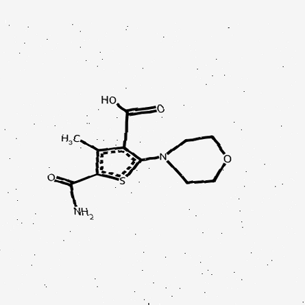 Cc1c(C(N)=O)sc(N2CCOCC2)c1C(=O)O